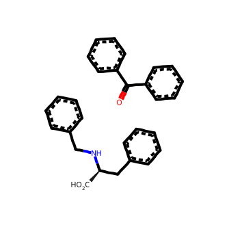 O=C(O)[C@H](Cc1ccccc1)NCc1ccccc1.O=C(c1ccccc1)c1ccccc1